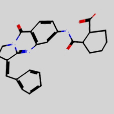 O=C(O)C1CCCCC1C(=O)Nc1ccc2c(=O)n3c(nc2c1)/C(=C\c1ccccc1)CC3